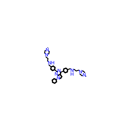 CN1CCN(CCCNCc2ccc(-c3nc(-c4ccc(CNCCCN5CCN(C)CC5)cc4)c4ccn(-c5ccccc5)c4n3)cc2)CC1